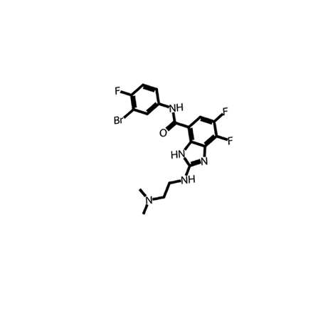 CN(C)CCNc1nc2c(F)c(F)cc(C(=O)Nc3ccc(F)c(Br)c3)c2[nH]1